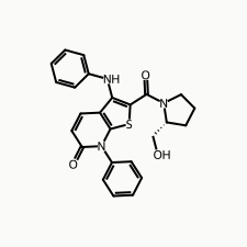 O=C(c1sc2c(ccc(=O)n2-c2ccccc2)c1Nc1ccccc1)N1CCC[C@@H]1CO